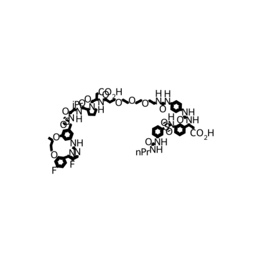 CCCNC(=O)Nc1cccc(S(=O)(=O)Nc2cccc(C(CC(=O)O)NC(=O)Nc3ccc(NC(=O)NCCOCCOCCOCCC(=O)NC(CC(=O)O)C(=O)N4CCCC4C(=O)NC(C(=O)N=S(C)(=O)Cc4cc5cc(c4)OC(C)CCOc4cc(F)ccc4-c4nc(ncc4F)N5)C(C)C)cc3)c2)c1